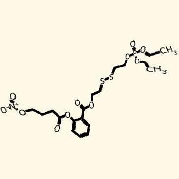 CCOP(=O)(OCC)OCCSSCCOC(=O)c1ccccc1OC(=O)CCCO[N+](=O)[O-]